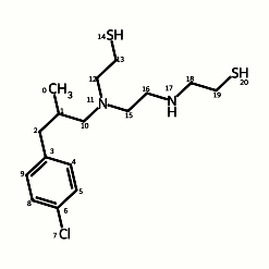 CC(Cc1ccc(Cl)cc1)CN(CCS)CCNCCS